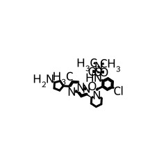 Cc1cn2nc([C@@H]3CCCCN3C(=O)c3cc(Cl)ccc3NS(=O)(=O)N(C)C)cc2nc1C1CC[C@H](N)C1